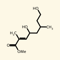 COC(=O)C(C)=CC(O)CC(C)CCO